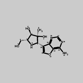 C[C@@]1(O)[C@H](O)[C@@H](CO)N[C@H]1c1coc2c(N)ncnc12